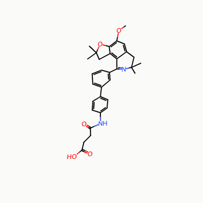 COc1cc2c(c3c1OC(C)(C)C3)C(c1cccc(-c3ccc(NC(=O)CCC(=O)O)cc3)c1)=NC(C)(C)C2